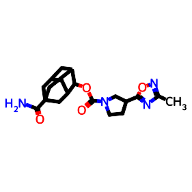 Cc1noc(C2CCN(C(=O)OC3C4CC5CC3CC(C(N)=O)(C5)C4)C2)n1